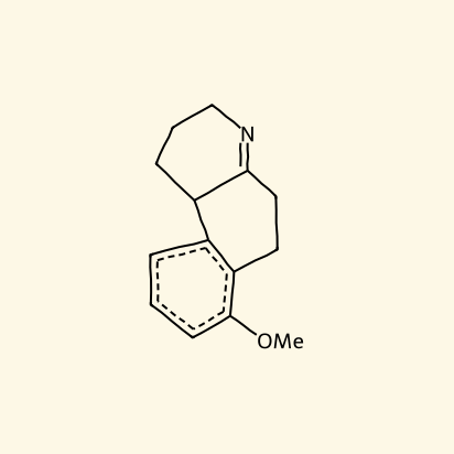 COc1cccc2c1CCC1=NCCCC12